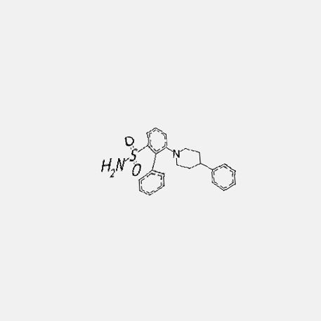 NS(=O)(=O)c1cccc(N2CCC(c3ccccc3)CC2)c1-c1ccccc1